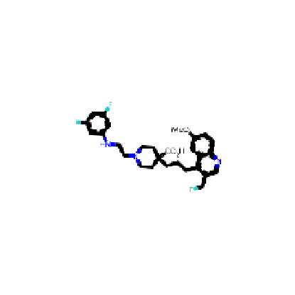 COc1ccc2ncc(CF)c(CCCC3(C(=O)O)CCN(CCNc4cc(F)cc(F)c4)CC3)c2c1